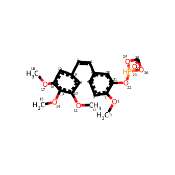 COc1ccc(/C=C\c2cc(OC)c(OC)c(OC)c2)cc1O[PH]12OC(O1)O2